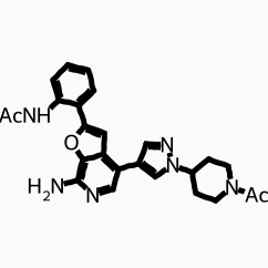 CC(=O)Nc1ccccc1-c1cc2c(-c3cnn(C4CCN(C(C)=O)CC4)c3)cnc(N)c2o1